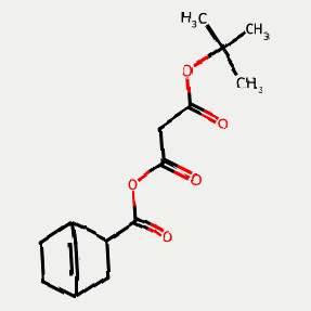 CC(C)(C)OC(=O)CC(=O)OC(=O)C1CC2C=CC1CC2